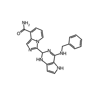 NC(=O)c1cccn2c(C3N=C(NCc4ccccc4)c4[nH]ccc4N3)ncc12